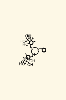 Cc1cc(CN2CCCN(Cc3ccccc3)CCN(Cc3cc(C)cc(C(CO)(CO)C(N)=O)c3O)CC2)c(O)c(C(CO)(CO)C(N)=O)c1